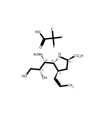 C/C=C\[C@@H]1C[C@H](C(=O)O)N[C@H]1[C@@H](NC(C)=O)[C@H](O)CO.O=C(O)C(F)(F)F